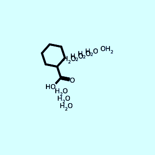 O.O.O.O.O.O.O.O.O=C(O)C1CCCCC1